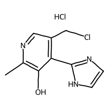 Cc1ncc(CCl)c(-c2ncc[nH]2)c1O.Cl